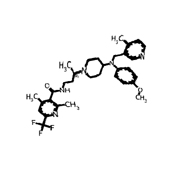 COc1ccc(N(Cc2cnccc2C)C2CCN([C@H](C)CCNC(=O)c3c(C)cc(C(F)(F)F)nc3C)CC2)cc1